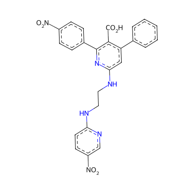 O=C(O)c1c(-c2ccccc2)cc(NCCNc2ccc([N+](=O)[O-])cn2)nc1-c1ccc([N+](=O)[O-])cc1